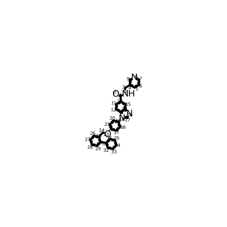 O=C(NCc1cccnc1)c1ccc2c(c1)ncn2-c1ccc(OCc2ccccc2-c2ccccc2)cc1